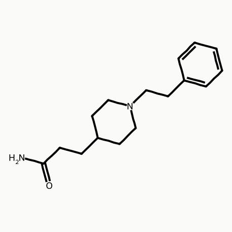 NC(=O)CCC1CCN(CCc2ccccc2)CC1